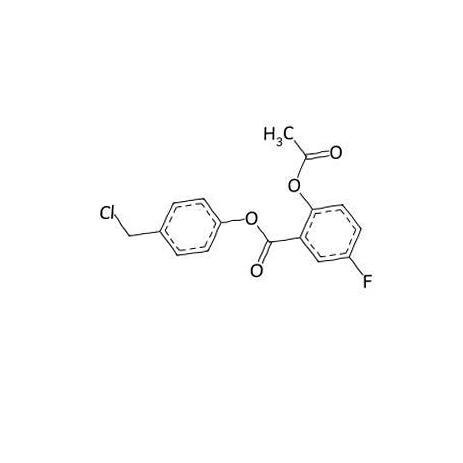 CC(=O)Oc1ccc(F)cc1C(=O)Oc1ccc(CCl)cc1